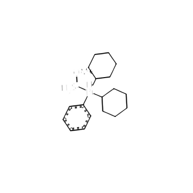 CO[SiH2][BiH]([c]1ccccc1)([CH]1CCCCC1)[CH]1CCCCC1